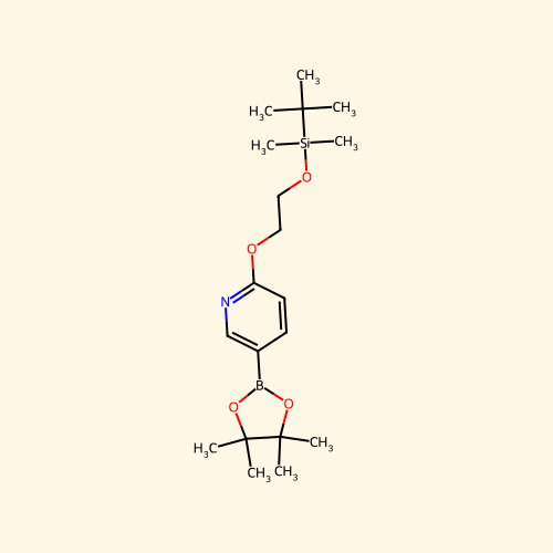 CC1(C)OB(c2ccc(OCCO[Si](C)(C)C(C)(C)C)nc2)OC1(C)C